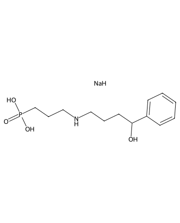 O=P(O)(O)CCCNCCCC(O)c1ccccc1.[NaH]